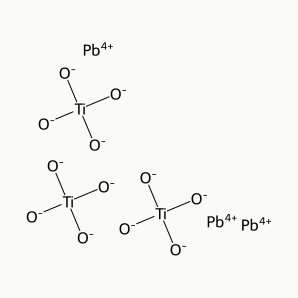 [O-][Ti]([O-])([O-])[O-].[O-][Ti]([O-])([O-])[O-].[O-][Ti]([O-])([O-])[O-].[Pb+4].[Pb+4].[Pb+4]